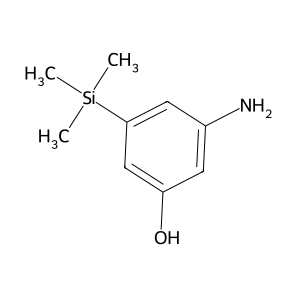 C[Si](C)(C)c1cc(N)cc(O)c1